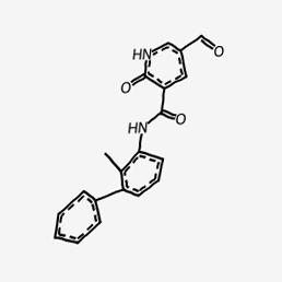 Cc1c(NC(=O)c2cc(C=O)c[nH]c2=O)cccc1-c1ccccc1